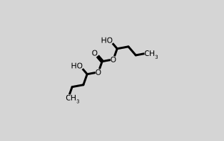 CCCC(O)OC(=O)OC(O)CCC